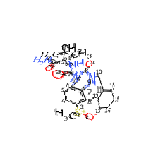 C[S+]([O-])c1ccc2c(c1)n(CC1CCCCC1)c(=O)n2C(=O)N[C@H](C(N)=O)C(C)(C)C